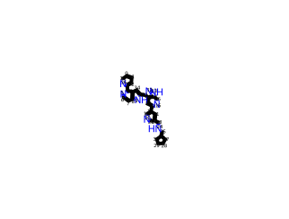 c1ccc(-c2nccc3[nH]c(-c4n[nH]c5cnc(-c6cncc(CNCC7CCCC7)c6)cc45)cc23)nc1